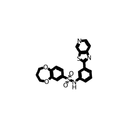 O=S(=O)(Nc1cccc(-c2nc3ccncc3s2)c1)c1ccc2c(c1)OCCCO2